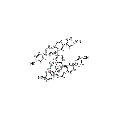 N#Cc1ccc(-c2ccc3c4ccc(-c5ccc(C#N)cc5)cc4n(-c4cc(-c5ccccc5C#N)c(-n5c6cc(-c7ccc(C#N)cc7)ccc6c6ccc(-c7ccc(C#N)cc7)cc65)cn4)c3c2)cc1